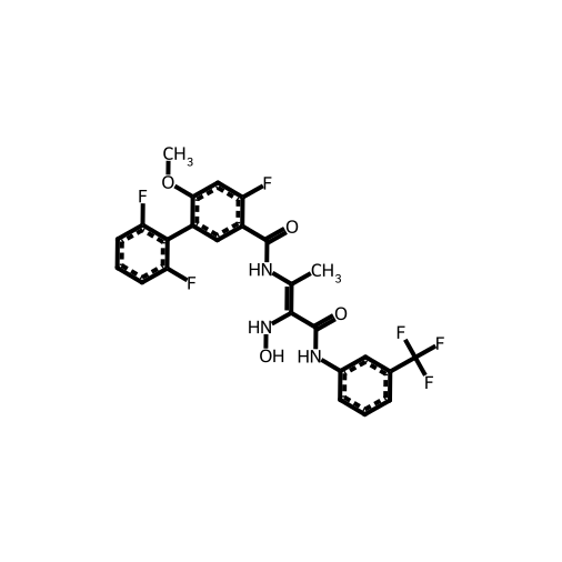 COc1cc(F)c(C(=O)N/C(C)=C(\NO)C(=O)Nc2cccc(C(F)(F)F)c2)cc1-c1c(F)cccc1F